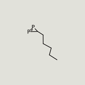 CCCCCC1P=P1